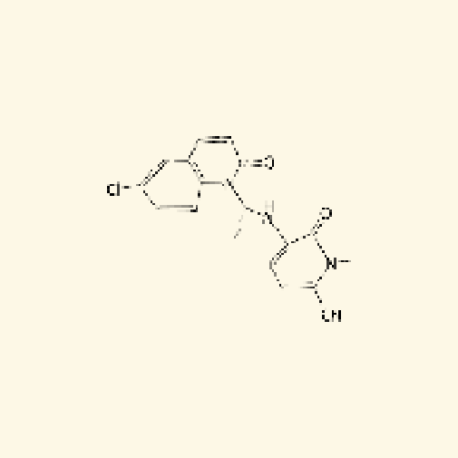 C[C@@H](Nc1ccc(C#N)n(C)c1=O)n1c(=O)ccc2cc(Cl)ccc21